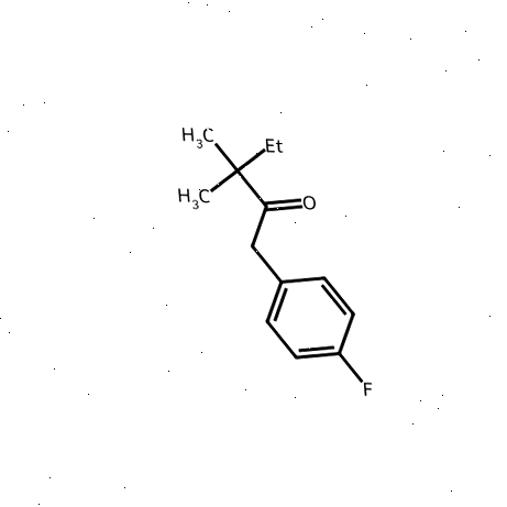 CCC(C)(C)C(=O)Cc1ccc(F)cc1